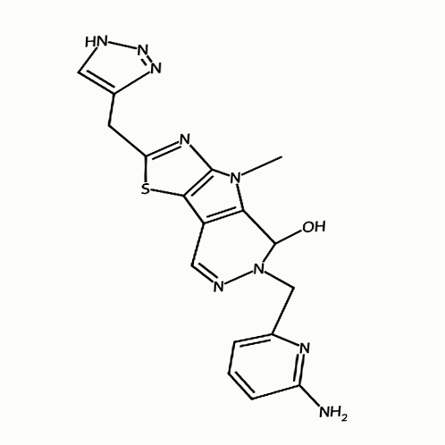 Cn1c2c(c3sc(Cc4c[nH]nn4)nc31)C=NN(Cc1cccc(N)n1)C2O